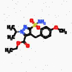 CCOC(=O)c1c(Cc2ccc(OC)cc2)c(S(N)(=O)=O)nn1C(C)C